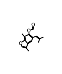 CC(C)=Cc1cc2c(C)coc2c(C)c1OC=O